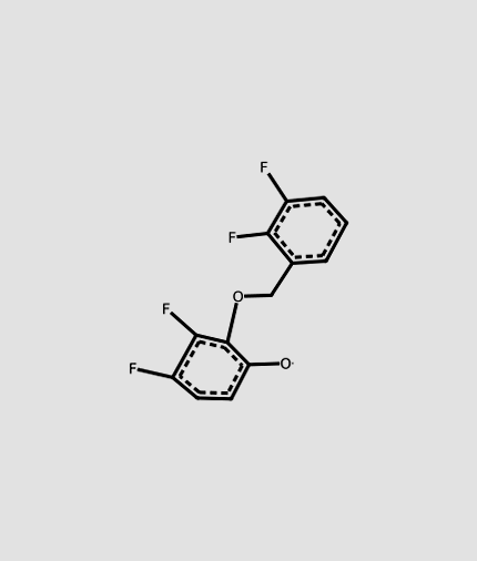 [O]c1ccc(F)c(F)c1OCc1cccc(F)c1F